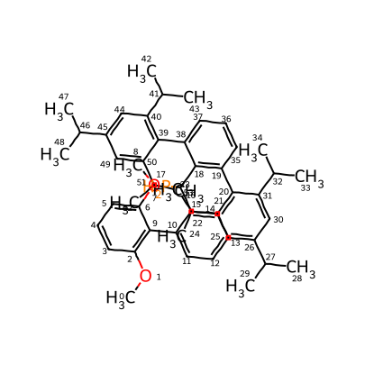 COc1cccc(OC)c1-c1ccccc1C(P)c1c(-c2c(C(C)C)cc(C(C)C)cc2C(C)C)cccc1-c1c(C(C)C)cc(C(C)C)cc1C(C)C